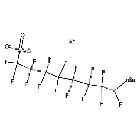 CCCCC(F)C(F)(F)C(F)(F)C(F)(F)C(F)(F)C(F)(F)C(F)(F)C(F)(F)S(=O)(=O)[O-].[K+]